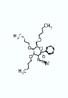 CCCCOCC1OP(=O)(c2ccccc2)C(N=[N+]=[N-])C(OCCCC)C1OCCCC